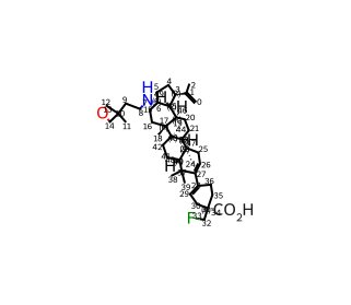 C=C(C)[C@@H]1CC[C@]2(NCCC3(C)COC3)CC[C@]3(C)[C@H](CC[C@@H]4[C@@]5(C)CC=C(C6=CC[C@@](CF)(C(=O)O)CC6)C(C)(C)[C@@H]5CC[C@]43C)[C@@H]12